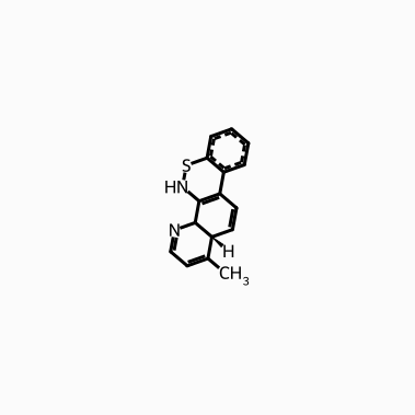 CC1=CC=NC2C3=C(C=C[C@H]12)c1ccccc1SN3